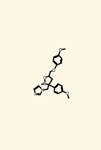 COc1ccc(OCC2CC(Cn3ccnc3)(c3ccc(OC)cc3)N(C)O2)cc1